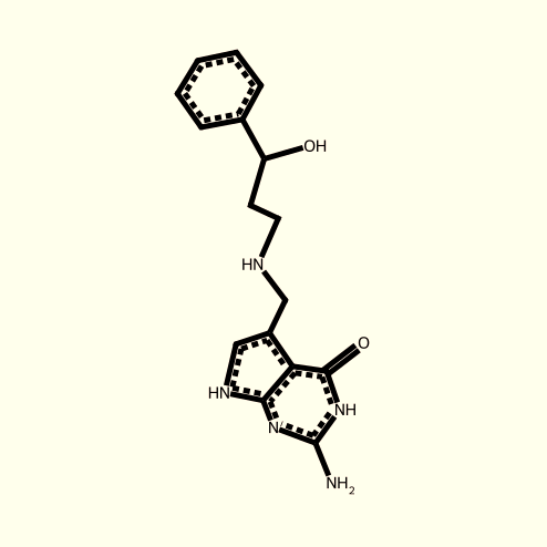 Nc1nc2[nH]cc(CNCCC(O)c3ccccc3)c2c(=O)[nH]1